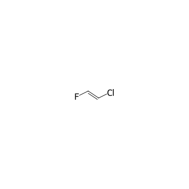 F/C=C/Cl